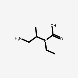 CCN(C(=O)O)C(C)CN